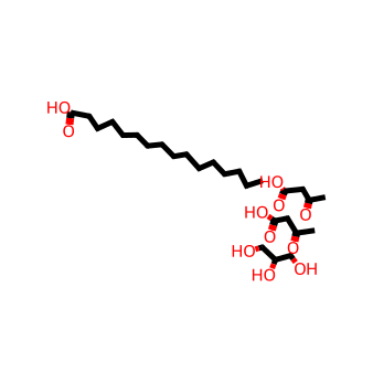 CC(=O)CC(=O)O.CC(=O)CC(=O)O.CCCCCCCCCCCCCCCC(=O)O.OCC(O)CO